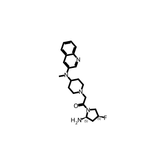 CN(c1cnc2ccccc2c1)C1CCN(CC(=O)N2C[C@@H](F)C[C@H]2N)CC1